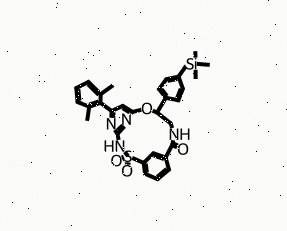 Cc1cccc(C)c1-c1cc2nc(n1)NS(=O)(=O)c1cccc(c1)C(=O)NCC(c1ccc(C[Si](C)(C)C)cc1)O2